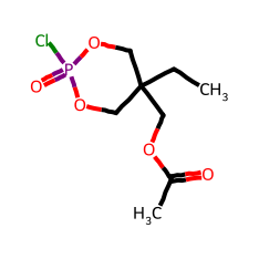 CCC1(COC(C)=O)COP(=O)(Cl)OC1